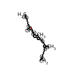 C=CC(=O)OCCCCCCOc1ccc(C=CC(=O)Oc2ccc3c(c2)C(C)c2cc(OCOC=Cc4ccc(OCCCCCCOC(=O)C=C)c(OC)c4)ccc2-3)cc1CO